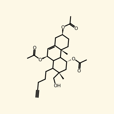 C#CCCCC1C2C([C@H](OC(C)=O)C[C@]1(C)CO)[C@@]1(C)CC[C@H](OC(C)=O)CC1=C[C@@H]2OC(C)=O